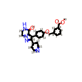 COC(=O)c1cccc(COc2ccc(-c3c(-c4ccncc4)nn4c3C(=O)NCC4)cc2)c1